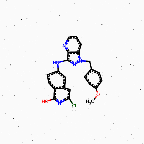 COc1ccc(Cn2nc(Nc3ccc4c(O)nc(Cl)cc4c3)c3ncccc32)cc1